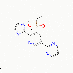 CCS(=O)(=O)c1cc(-c2ncccn2)cnc1-c1nccn1C